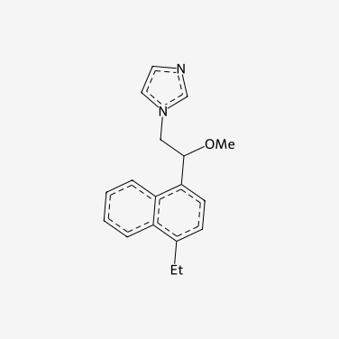 CCc1ccc(C(Cn2ccnc2)OC)c2ccccc12